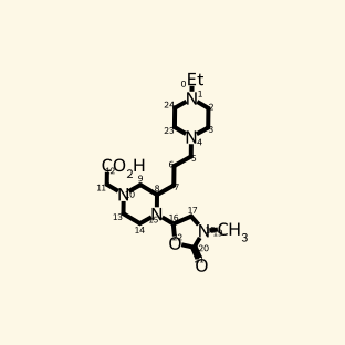 CCN1CCN(CCCC2CN(CC(=O)O)CCN2C2CN(C)C(=O)O2)CC1